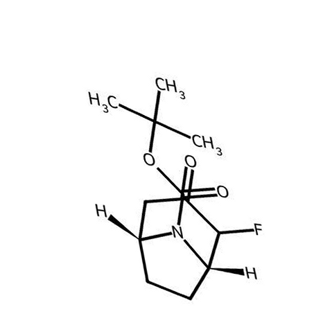 CC(C)(C)OC(=O)N1[C@@H]2CC[C@H]1C(F)C(=O)C2